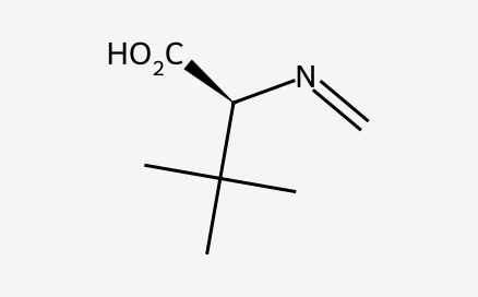 C=N[C@H](C(=O)O)C(C)(C)C